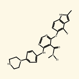 CCN(C)C(=O)c1c(Nc2ccc(N3CCNCC3)cc2)ncnc1Oc1ccc2[nH]c(C)cc2c1F